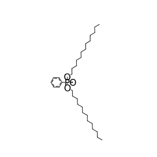 CCCCCCCCCCCCCOP(=O)(OCCCCCCCCCCCCC)c1ccccc1